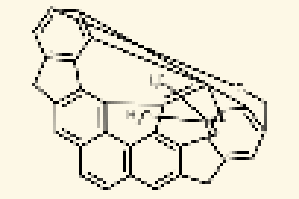 C[N+]1(C)CC23C4=CC5=C6c7c(cc8c9c7c(c7c%10c9c(cc9ccc%11cc(c2c-7c%11c9%10)C4)C8)C63C1)CC5